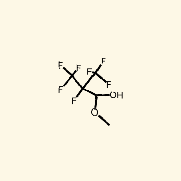 COC(O)C(F)(C(F)(F)F)C(F)(F)F